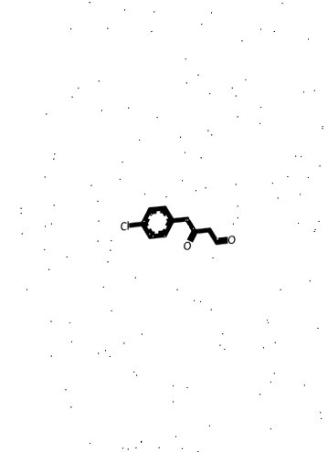 O=CCC(=O)Cc1ccc(Cl)cc1